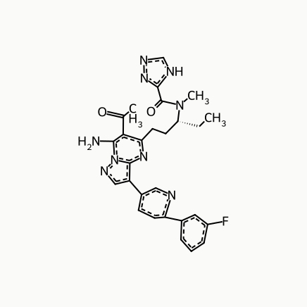 CC[C@H](CCc1nc2c(-c3ccc(-c4cccc(F)c4)nc3)cnn2c(N)c1C(C)=O)N(C)C(=O)c1nnc[nH]1